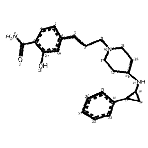 NC(=O)c1ccc(CCCN2CCC(NC3CC3c3ccccc3)CC2)cc1O